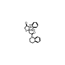 Cc1ccccc1NC1(CC(=O)N2CCCc3ccccc32)NC(=O)CS1